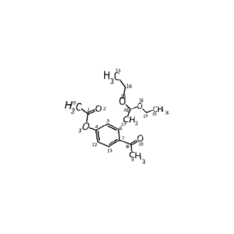 CC(=O)Oc1ccc(C(C)=O)cc1.CCOC(C)OCC